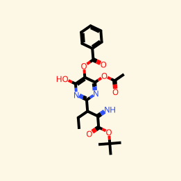 CCC(C(=N)C(=O)OC(C)(C)C)c1nc(O)c(OC(=O)c2ccccc2)c(OC(C)=O)n1